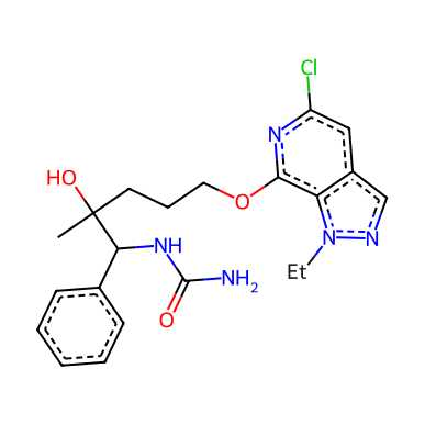 CCn1ncc2cc(Cl)nc(OCCCC(C)(O)C(NC(N)=O)c3ccccc3)c21